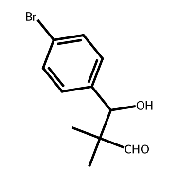 CC(C)(C=O)C(O)c1ccc(Br)cc1